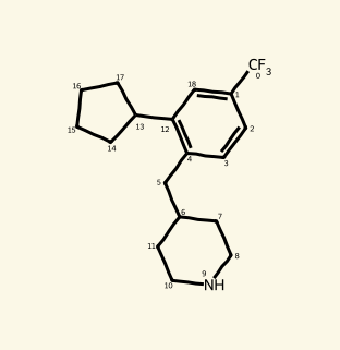 FC(F)(F)c1ccc(CC2CCNCC2)c(C2CCCC2)c1